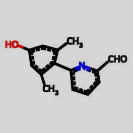 Cc1cc(O)cc(C)c1-c1cccc(C=O)n1